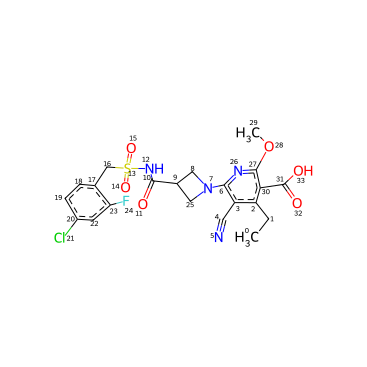 CCc1c(C#N)c(N2CC(C(=O)NS(=O)(=O)Cc3ccc(Cl)cc3F)C2)nc(OC)c1C(=O)O